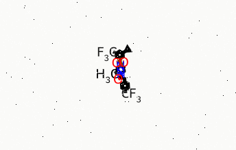 CC1CN(S(=O)(=O)c2cc(C3CC3)cc(C(F)(F)F)c2)CCN1C(=O)Cc1ccc(C(F)(F)F)cc1